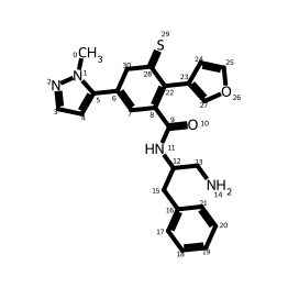 Cn1nccc1C1=CC(C(=O)NC(CN)Cc2ccccc2)=C(c2ccoc2)C(=S)C1